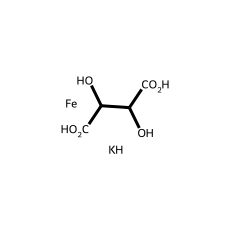 O=C(O)C(O)C(O)C(=O)O.[Fe].[KH]